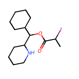 CC(I)C(=O)OC(C1CCCCC1)C1CCCCN1